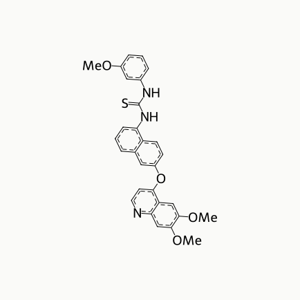 COc1cccc(NC(=S)Nc2cccc3cc(Oc4ccnc5cc(OC)c(OC)cc45)ccc23)c1